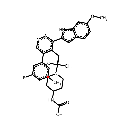 COc1ccc2cc(-c3nncc(-c4cc(C)cc(F)c4)c3CC(C)(C)N3CCC(NC(=O)O)CC3)[nH]c2c1